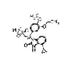 CCOc1cc([C@H](CS(C)(=O)=O)n2c(=O)[nH]c3c(C4CC4)cccc32)ccc1OC